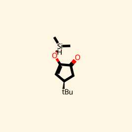 C[SiH](C)OC1=C[C@H](C(C)(C)C)CC1=O